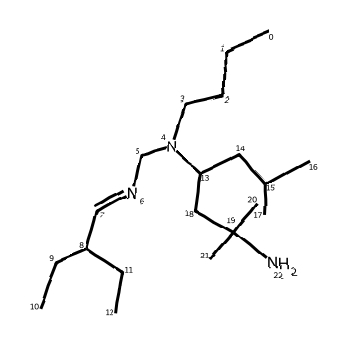 CCCCN(C/N=C/C(CC)CC)C(CC(C)C)CC(C)(C)N